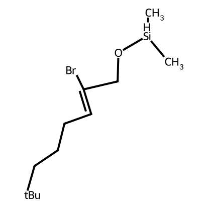 C[SiH](C)OCC(Br)=CCCCC(C)(C)C